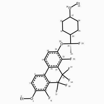 CCOc1ccc2c(c1F)C(F)(F)C(F)(F)c1c-2ccc(O[C@](C)(F)C2CCC(OCC)CC2)c1F